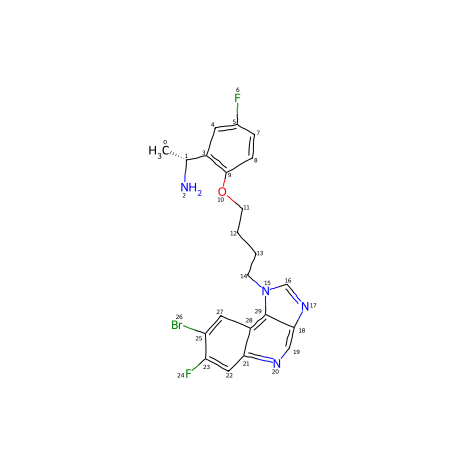 C[C@@H](N)c1cc(F)ccc1OCCCCn1cnc2cnc3cc(F)c(Br)cc3c21